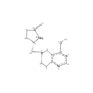 COc1ncnc2c1CN(C[C@@H]1CCC(=O)N1)CC2